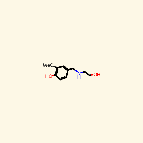 COc1cc(CNCCO)ccc1O